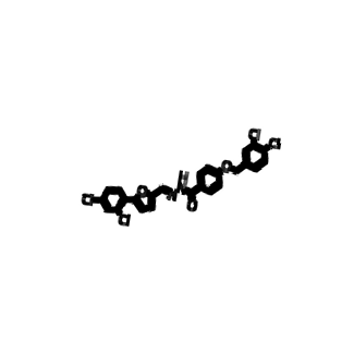 O=C(N/N=C/c1ccc(-c2ccc(Cl)cc2Cl)o1)c1ccc(OCc2ccc(Cl)c(Cl)c2)cc1